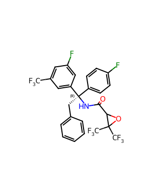 O=C(N[C@](Cc1ccccc1)(c1ccc(F)cc1)c1cc(F)cc(C(F)(F)F)c1)C1OC1(C(F)(F)F)C(F)(F)F